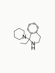 CCC1(N2CCCCC2)NCCc2ccccc21